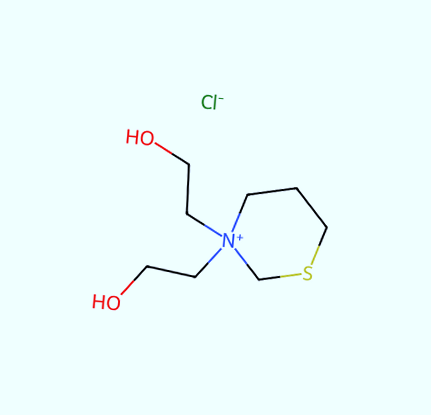 OCC[N+]1(CCO)CCCSC1.[Cl-]